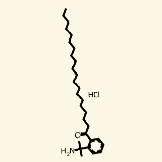 CCCCCCCCCCCCCCCCCCCC(=O)c1ccccc1C(C)(C)N.Cl